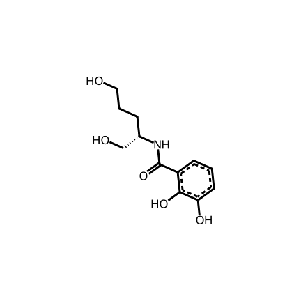 O=C(N[C@H](CO)CCCO)c1cccc(O)c1O